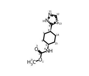 COC(=O)N[C@H]1CC[C@@H](c2nncs2)CC1